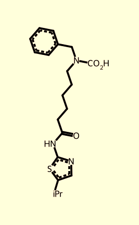 CC(C)c1cnc(NC(=O)CCCCCN(Cc2ccccc2)C(=O)O)s1